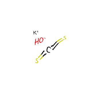 S=C=S.[K+].[OH-]